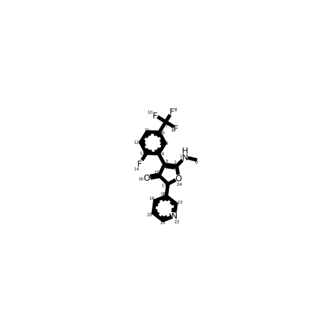 CNC1=C(c2cc(C(F)(F)F)ccc2F)C(=O)C(c2cccnc2)O1